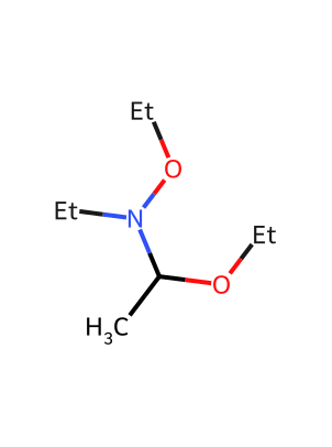 CCOC(C)N(CC)OCC